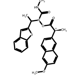 CNC(=O)N(OC(=O)[C@@H](C)c1ccc2cc(OC)ccc2c1)C(C)c1cc2ccccc2s1